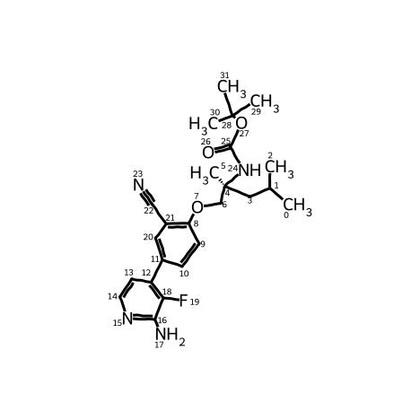 CC(C)C[C@@](C)(COc1ccc(-c2ccnc(N)c2F)cc1C#N)NC(=O)OC(C)(C)C